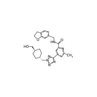 Cc1cc(-c2nnn(C[C@H]3CC[C@H](CO)CC3)n2)cc(C(=O)NCc2ccc3c(c2)OCC3)n1